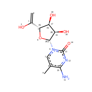 C=C(O)[C@H]1O[C@@H](n2cc(C)c(N)nc2=O)[C@H](O)[C@@H]1O